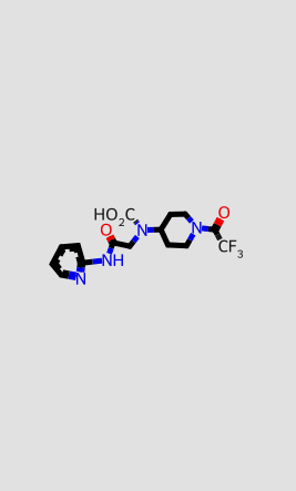 O=C(CN(C(=O)O)C1CCN(C(=O)C(F)(F)F)CC1)Nc1ccccn1